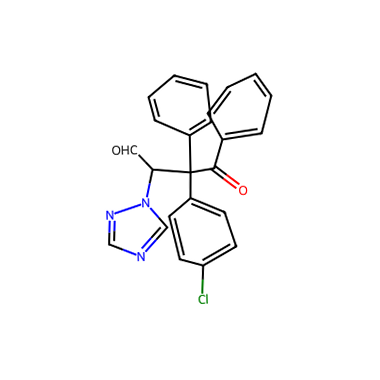 O=CC(n1cncn1)C(C(=O)c1ccccc1)(c1ccccc1)c1ccc(Cl)cc1